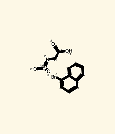 Brc1cccc2ccccc12.O=C(O)CN=S(=O)=O